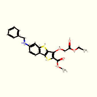 CCOC(=O)COc1c(C(=O)OC)sc2c1sc1cc(NCc3ccccc3)ccc12